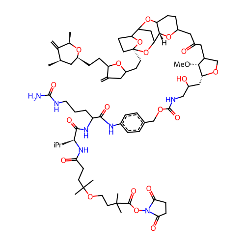 C=C1CC(CC[C@]23CCC(O2)C2CC(O3)[C@H]3OC(CC(=O)CC4CO[C@H](CC(O)CNC(=O)OCc5ccc(NC(=O)C(CCCNC(N)=O)NC(=O)[C@@H](NC(=O)CCC(C)(C)OCCC(C)(C)C(=O)ON6C(=O)CCC6=O)C(C)C)cc5)[C@@H]4OC)CCC3O2)OC1CC[C@H]1C[C@@H](C)C(=C)[C@@H](C)O1